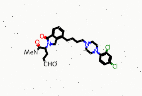 CNC(=O)C(CCC=O)N1Cc2c(CCCCN3CCN(c4ccc(Cl)cc4Cl)CC3)cccc2C1=O